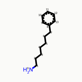 NCCCCCCCc1ccccc1